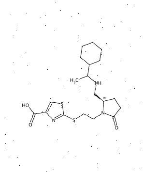 CC(NC[C@H]1CCC(=O)N1CCSc1nc(C(=O)O)cs1)C1CCCCC1